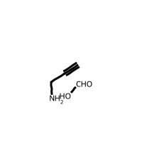 C#CCN.O=CO